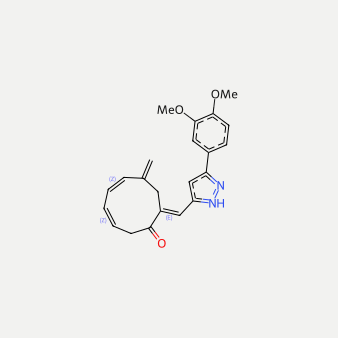 C=C1/C=C\C=C/CC(=O)/C(=C/c2cc(-c3ccc(OC)c(OC)c3)n[nH]2)C1